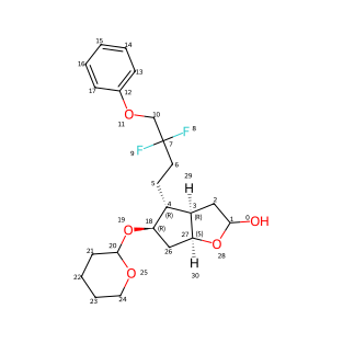 OC1C[C@@H]2[C@@H](CCC(F)(F)COc3ccccc3)[C@H](OC3CCCCO3)C[C@@H]2O1